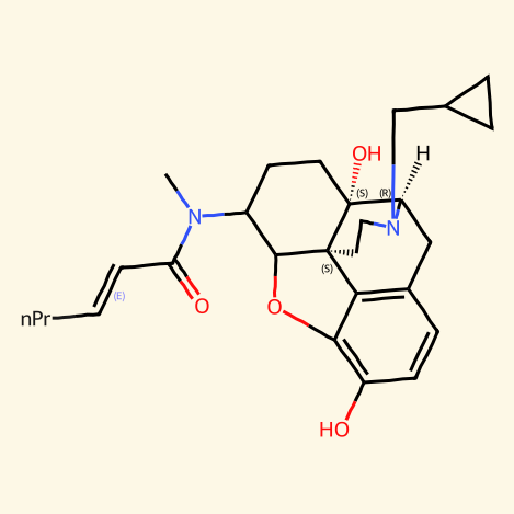 CCC/C=C/C(=O)N(C)C1CC[C@@]2(O)[C@H]3Cc4ccc(O)c5c4[C@@]2(CCN3CC2CC2)C1O5